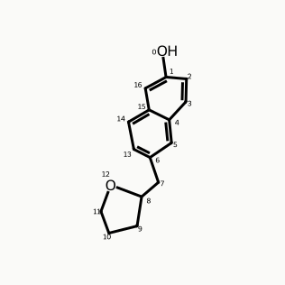 Oc1ccc2cc(CC3CCCO3)ccc2c1